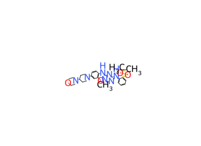 COc1cc(N2CCC(N3CCOCC3)CC2)ccc1Nc1ncnc(Nc2ccccc2S(=O)(=O)C(C)C)n1